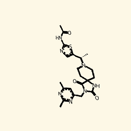 CC(=O)Nc1ncc([C@H](C)N2CCC3(CC2)NC(=O)N(Cc2cc(C)nc(C)n2)C3=O)s1